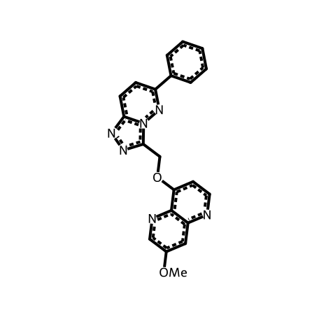 COc1cnc2c(OCc3nnc4ccc(-c5ccccc5)nn34)ccnc2c1